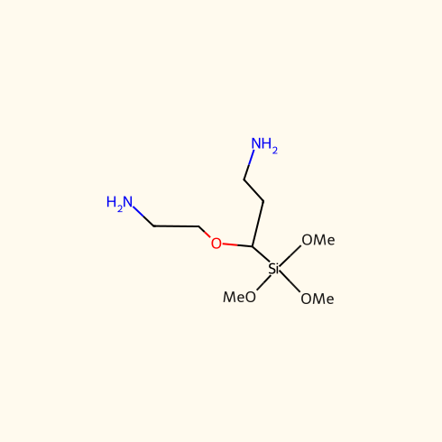 CO[Si](OC)(OC)C(CCN)OCCN